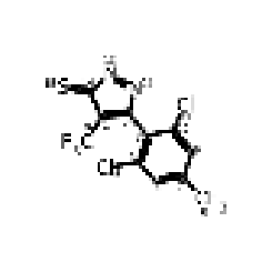 FC(F)(F)C1=C(c2c(Cl)cc(C(F)(F)F)cc2Cl)N=NC1=S